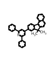 CC1(C)c2cc(-c3cc(-c4ccccc4)nc(-c4ccccc4)c3)ccc2-c2c1ccc1ccccc21